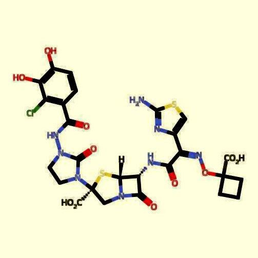 Nc1nc(/C(=N/OC2(C(=O)O)CCC2)C(=O)N[C@@H]2C(=O)N3C[C@@](C(=O)O)(N4CCN(NC(=O)c5ccc(O)c(O)c5Cl)C4=O)S[C@H]23)cs1